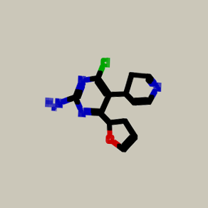 Nc1nc(Cl)c(C2C=CN=CC2)c(C2CC=CO2)n1